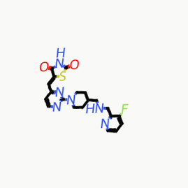 O=C1NC(=O)C(=Cc2ccnc(N3CCC(CNCc4ncccc4F)CC3)n2)S1